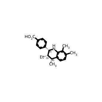 CC[C@H]1[C@@H](C)c2ccc(C)c(C)c2N[C@H]1c1ccc(C(=O)O)cc1